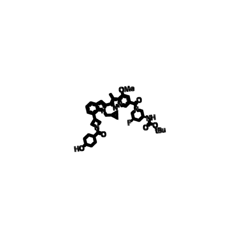 COc1cc(C(=O)N2C[C@H](F)C[C@@H](NC(=O)OC(C)(C)C)C2)cn2nc(-c3cc4cccc(C5CN(C(=O)C6CCC(O)CC6)C5)c4n3CC3CC3)c(C)c12